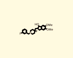 COc1cc2c(cc1OC)C(O)C(CC1(F)CCN(Cc3cccc(F)c3)CC1)C2